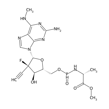 C#C[C@@]1(F)[C@H](O)[C@@H](CO[PH](=O)N[C@H](C)C(=O)OC)O[C@H]1n1cnc2c(NC)nc(N)nc21